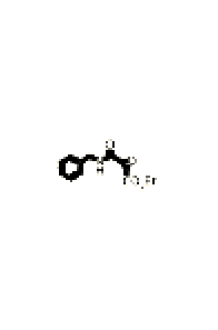 CCOC(=O)C1OC1C(=O)NCc1ccccc1